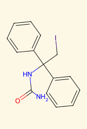 NC(=O)NC(CI)(c1ccccc1)c1ccccc1